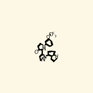 O=c1ccn(-c2cccc(OC(F)(F)F)c2)nc1-c1ccnn1-c1cccc2ncccc12